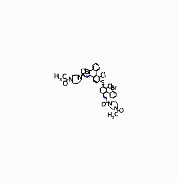 CC(=O)N1CCCN(C(=O)/C=C/c2ccc(Sc3ccc(/C=C/C(=O)N4CCCN(C(C)=O)CC4)c(-c4ccccc4Br)c3Cl)c(Cl)c2-c2ccccc2Br)CC1